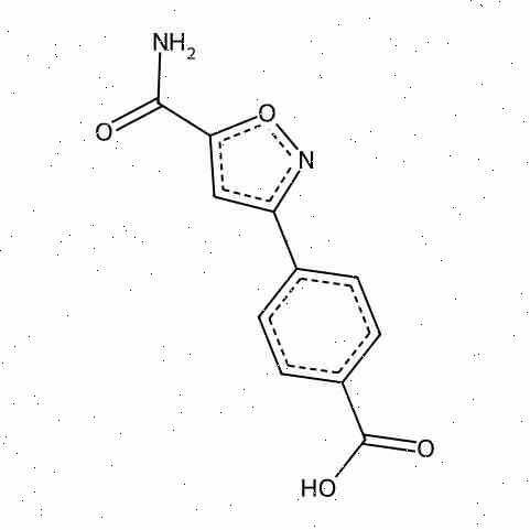 NC(=O)c1cc(-c2ccc(C(=O)O)cc2)no1